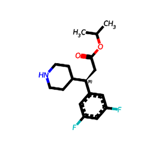 CC(C)OC(=O)C[C@@H](c1cc(F)cc(F)c1)C1CCNCC1